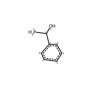 OC(P)c1ccccc1